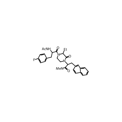 CCC1C(=O)N(C(Cc2ccc3ccccc3c2)C(=O)NC)CCN1C(=O)C(Cc1ccc(F)cc1)NC(C)=O